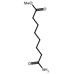 COC(=O)CCCCCCC(N)=O